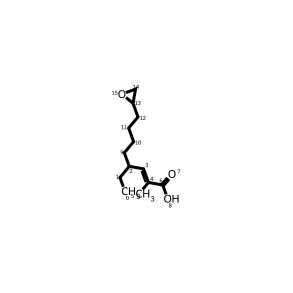 CCC(C=C(C)C(=O)O)CCCCC1CO1